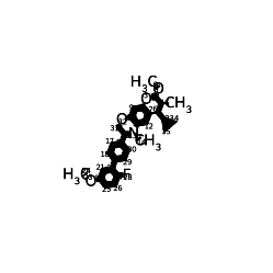 COC(=O)[C@@H](C)[C@H](c1ccc2c(c1)N(C)C(c1ccc(-c3cc(OC)ccc3F)cc1)CO2)C1CC1